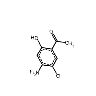 CC(=O)c1cc(Cl)c(N)cc1O